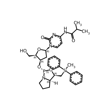 CC(C)C(=O)Nc1ccn([C@H]2C[C@@H](O[P@]3O[C@@H](C[Si](C)(c4ccccc4)c4ccccc4)[C@H]4CCCN43)[C@@H](CO)O2)c(=O)n1